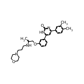 C=C(COc1cccc(-c2cc(-c3ccc(C)c(C)c3)nc(=O)[nH]2)c1)NCCCN1CCOCC1